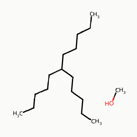 CCCCCC(CCCCC)CCCCC.CO